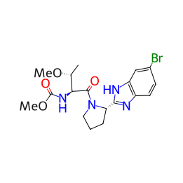 COC(=O)N[C@H](C(=O)N1CCC[C@H]1c1nc2ccc(Br)cc2[nH]1)[C@@H](C)OC